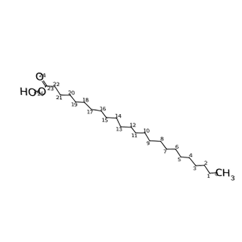 CCCCCCCCCCCCCCCCCCCCCCCC(=O)OO